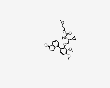 COCCOC(=O)NC(COc1c(-c2cccc3c2CCC3=O)ccc(OC)c1OC)C1CC1